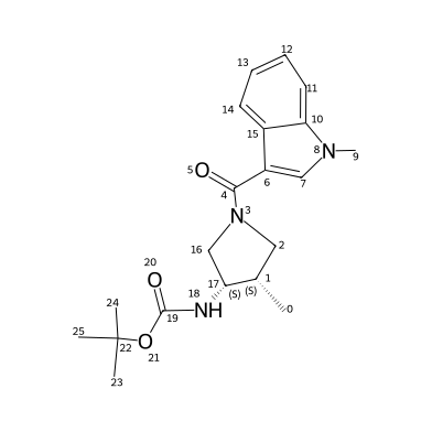 C[C@H]1CN(C(=O)c2cn(C)c3ccccc23)C[C@H]1NC(=O)OC(C)(C)C